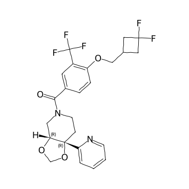 O=C(c1ccc(OCC2CC(F)(F)C2)c(C(F)(F)F)c1)N1CC[C@]2(c3ccccn3)OCO[C@@H]2C1